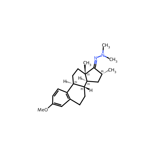 COc1ccc2c(c1)CC[C@@H]1[C@@H]2CC[C@]2(C)C(=NN(C)C)[C@H](C)C[C@@H]12